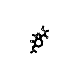 CON(C)C(=O)c1nn(C)c2c1CCC/C(=C\N(C)C)C2=O